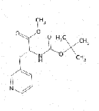 COC(=O)[C@@H](Cc1cccnc1)NC(=O)OC(C)(C)C